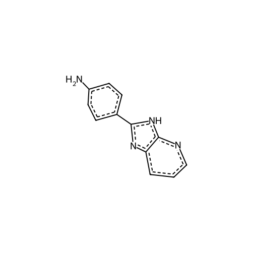 Nc1ccc(-c2nc3cccnc3[nH]2)cc1